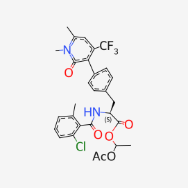 CC(=O)OC(C)OC(=O)[C@H](Cc1ccc(-c2c(C(F)(F)F)cc(C)n(C)c2=O)cc1)NC(=O)c1c(C)cccc1Cl